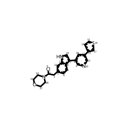 ClC(Cc1ccc2c(-c3cncc(-c4ccsc4)c3)c[nH]c2c1)N1CCOCC1